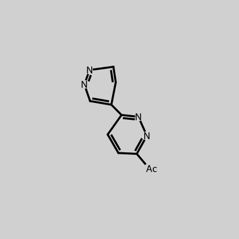 CC(=O)c1ccc(-c2ccnnc2)nn1